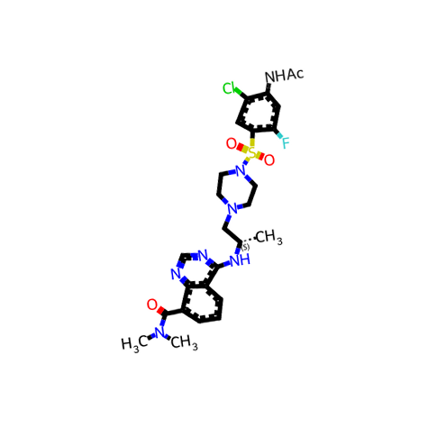 CC(=O)Nc1cc(F)c(S(=O)(=O)N2CCN(C[C@H](C)Nc3ncnc4c(C(=O)N(C)C)cccc34)CC2)cc1Cl